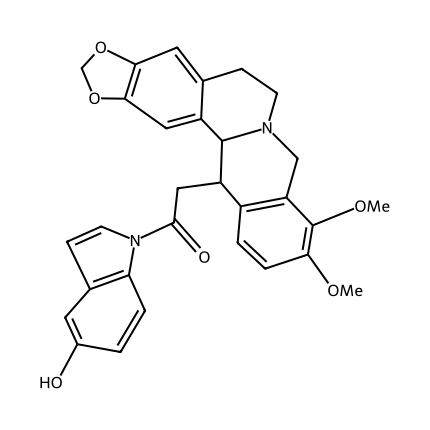 COc1ccc2c(c1OC)CN1CCc3cc4c(cc3C1C2CC(=O)n1ccc2cc(O)ccc21)OCO4